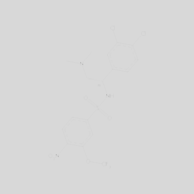 CN(C)C[C@@H](NS(=O)(=O)c1ccc([N+](=O)[O-])c(OC(F)(F)F)c1)c1ccc(Cl)c(Cl)c1